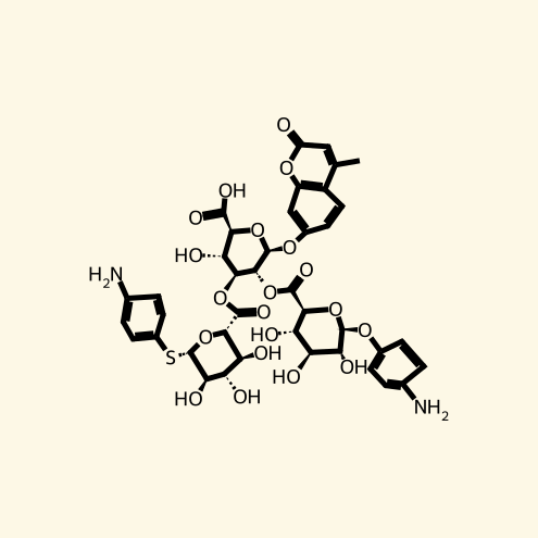 Cc1cc(=O)oc2cc(O[C@@H]3O[C@H](C(=O)O)[C@@H](O)[C@H](OC(=O)[C@H]4O[C@@H](Sc5ccc(N)cc5)[C@H](O)[C@@H](O)[C@@H]4O)[C@H]3OC(=O)[C@H]3O[C@@H](Oc4ccc(N)cc4)[C@H](O)[C@@H](O)[C@@H]3O)ccc12